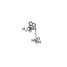 CS(=O)(=O)Nc1c(CCCCCCC(=O)NO)ccc2ccccc12